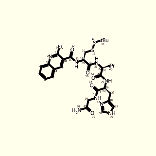 CCc1nc2ccccc2cc1C(=O)N[C@@H](CSSC(C)(C)C)C(=O)N[C@H](C(=O)N[C@@H](Cc1c[nH]cn1)C(=O)NCC(N)=O)C(C)C